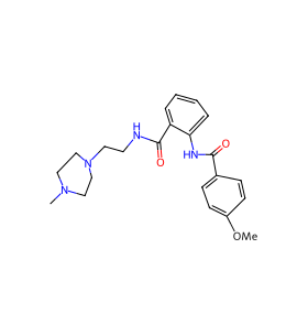 COc1ccc(C(=O)Nc2ccccc2C(=O)NCCN2CCN(C)CC2)cc1